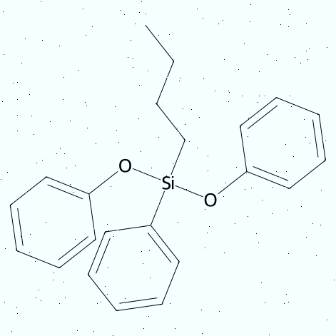 CCCC[Si](Oc1ccccc1)(Oc1ccccc1)c1ccccc1